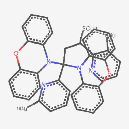 CCCCc1cccc(C(CC(c2ncccc2CCCC)S(=O)(=O)O)(N2c3ccccc3Oc3ccccc32)N2c3ccccc3Oc3ccccc32)n1